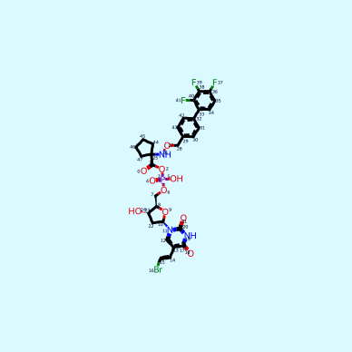 O=C(OP(=O)(O)OC[C@H]1O[C@@H](n2cc(/C=C/Br)c(=O)[nH]c2=O)C[C@@H]1O)C1(NOCc2ccc(-c3ccc(F)c(F)c3F)cc2)CCCC1